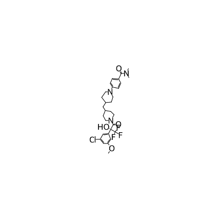 COc1cc(Cl)cc([C@@](O)(C(=O)N2CCC(CC3CCN(c4ccc(C(=O)N(C)C)cc4)CC3)CC2)C(F)(F)F)c1